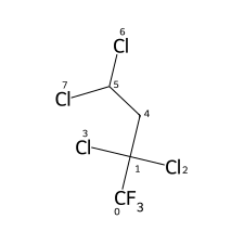 FC(F)(F)C(Cl)(Cl)CC(Cl)Cl